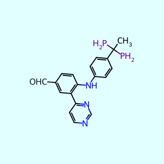 CC(P)(P)c1ccc(Nc2ccc(C=O)cc2-c2ccncn2)cc1